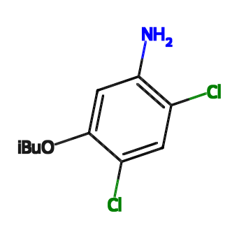 CC(C)COc1cc(N)c(Cl)cc1Cl